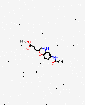 COC(=O)CCC1CNc2cc(NC(C)=O)ccc2O1